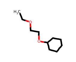 CCOCCOC1CCCCC1